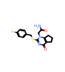 NC(=O)Cn1c(SCc2ccc(F)cc2)nc(=O)c2c1CCC2